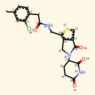 Cc1ccc(CC(=O)NCc2scc3c2CN(C2CCC(=O)NC2=O)C3=O)c(Cl)c1